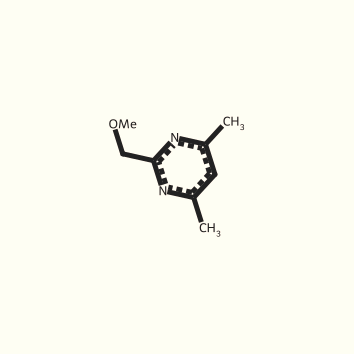 COCc1nc(C)cc(C)n1